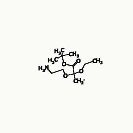 [CH2]C(OCC)(OCCN)C(=O)OC(C)(C)C